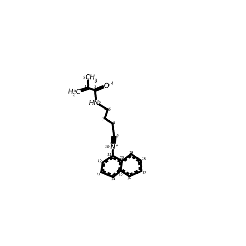 C=C(C)C(=O)NCCCC#[N+]c1cccc2ccccc12